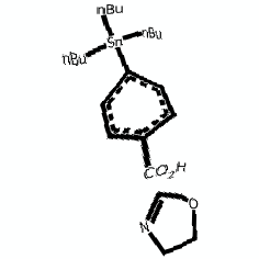 C1=NCCO1.CCC[CH2][Sn]([CH2]CCC)([CH2]CCC)[c]1ccc(C(=O)O)cc1